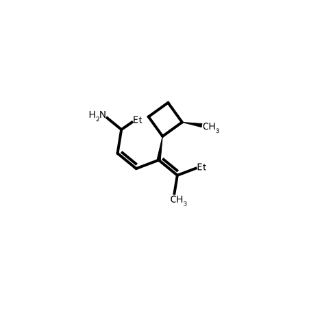 CC/C(C)=C(/C=C\C(N)CC)[C@H]1CC[C@H]1C